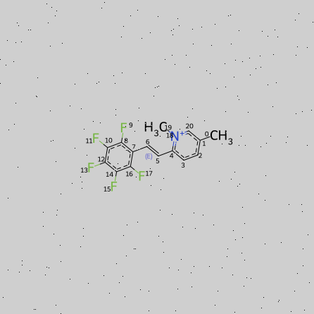 Cc1ccc(/C=C/c2c(F)c(F)c(F)c(F)c2F)[n+](C)c1